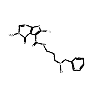 CCN(CCCNC(=O)c1c(C)oc2ncn(C)c(=O)c12)Cc1ccccc1